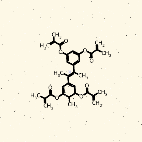 C=C(C)C(=O)OC1=CC(/C(C)=C(\C)c2cc(OC(=O)C(=C)C)cc(OC(=O)C(=C)C)c2)=CC(OC(=O)C(=C)C)C1C